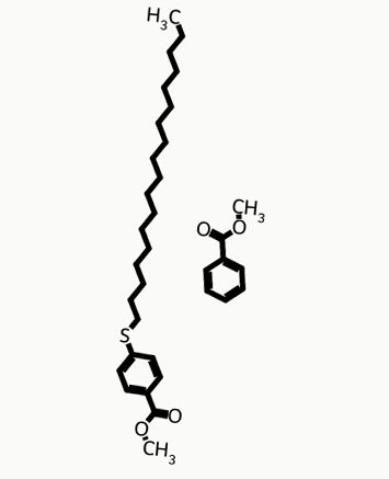 CCCCCCCCCCCCCCCCCCSc1ccc(C(=O)OC)cc1.COC(=O)c1ccccc1